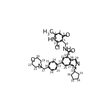 Cc1cc(=O)c(CNC(=O)c2cc(-c3ccc(CN4CCOCC4)cc3)cc3c2cnn3C2CCCC2)c(Cl)[nH]1